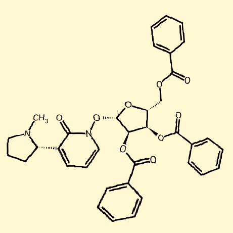 CN1CCC[C@H]1c1cccn(O[C@@H]2O[C@H](COC(=O)c3ccccc3)[C@@H](OC(=O)c3ccccc3)[C@H]2OC(=O)c2ccccc2)c1=O